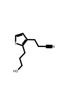 N#CCCc1ccsc1CCCO